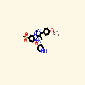 CS(=O)(=O)c1ccc([N+]2(OC3CCNCC3)N=Cc3c(C4C=CC(OC(F)(F)F)=CC4)ncnc32)cc1